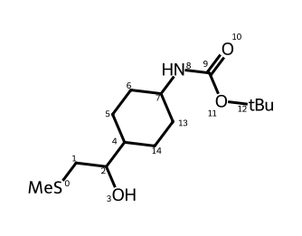 CSCC(O)C1CCC(NC(=O)OC(C)(C)C)CC1